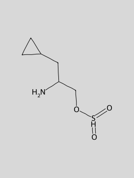 NC(CO[SH](=O)=O)CC1CC1